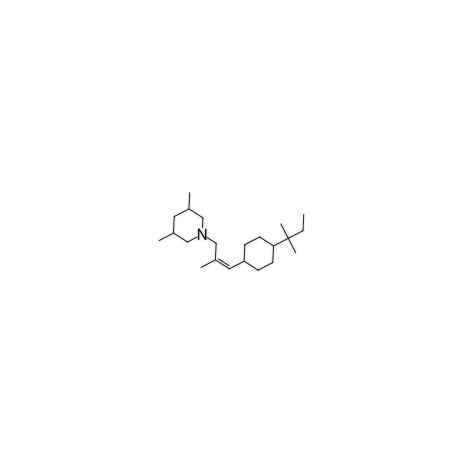 CCC(C)(C)C1CCC(C=C(C)CN2CC(C)CC(C)C2)CC1